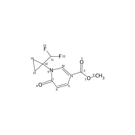 COC(=O)c1ccc(=O)n(C2(C(F)F)CC2)c1